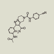 CC(=O)Nc1cccc(-c2nn3c(c2C(N)=O)CN(C(=O)Nc2ccc(C#N)cc2)CC3)c1